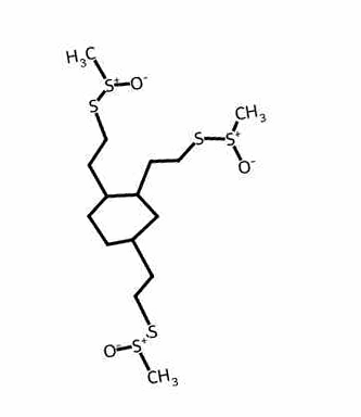 C[S+]([O-])SCCC1CCC(CCS[S+](C)[O-])C(CCS[S+](C)[O-])C1